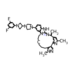 C=C1/N=C2\Nc3ccc(N4CCN(C5CN(c6cc(F)cc(F)c6)C5)CC4)cc3N2CCCCCCc2c(cnn2C)-c2cc1cc(C)n2